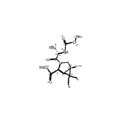 COC(=O)C1C2[C@H](CN1C(=O)[C@@H](NC(=O)OC(C)(C)C)C(C)(C)C)C2(C)C